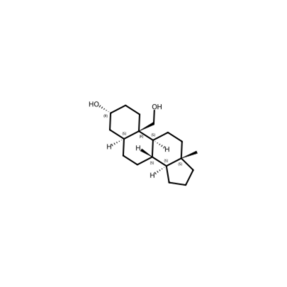 C[C@@]12CCC[C@H]1[C@@H]1CC[C@H]3C[C@H](O)CC[C@]3(CO)[C@H]1CC2